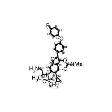 CNC(=O)Oc1c(-c2ccc(Oc3ccc(F)cc3)cc2)oc2cc(N(C(C)CN)S(C)(=O)=O)c(C3CC3)cc12